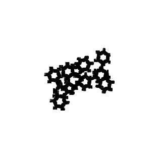 c1ccc(-c2nc(-c3ccc(-c4sc5c(c(-c6ccccc6)nc6ccccc65)c4-c4cccc5c4sc4ccccc45)cc3)c3ccccc3n2)cc1